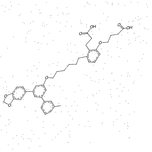 Cc1cccc(-c2cc(OCCCCCCc3cccc(OCCCC(=O)O)c3CCC(=O)O)cc(-c3ccc4c(c3)OCO4)c2)c1